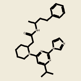 CC(CCc1ccccc1)NC(=O)CC1CCCCN1c1cc(C(C)C)nc(-n2ccnc2)n1